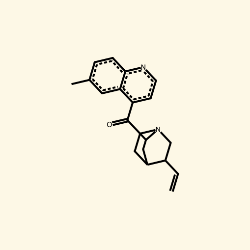 C=CC1CN2CCC1CC2C(=O)c1ccnc2ccc(C)cc12